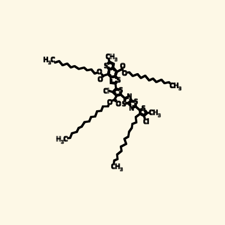 CCCCCCCCCCCCCCOC(=O)c1c(-c2nc3sc(-c4sc(C)c(Cl)c4CCCCCCCCCCCCCC)nc3s2)sc(-c2cc3c(C(=O)OCCCCCCCCCCCC)c4sc(C)cc4c(C(=O)OCCCCCCCCCCCC)c3s2)c1Cl